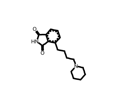 O=C1NC(=O)c2c(CCCCN3CCCCC3)cccc21